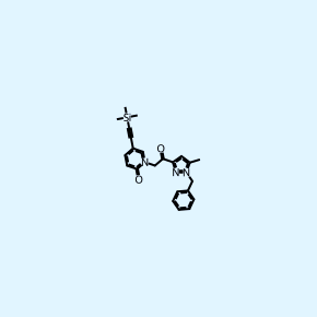 Cc1cc(C(=O)Cn2cc(C#C[Si](C)(C)C)ccc2=O)nn1Cc1ccccc1